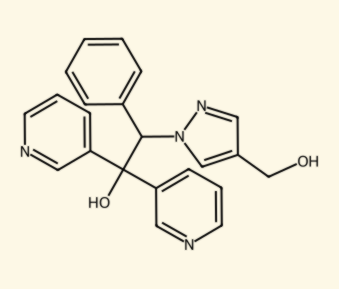 OCc1cnn(C(c2ccccc2)C(O)(c2cccnc2)c2cccnc2)c1